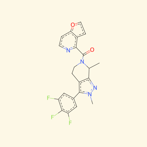 CC1c2nn(C)c(-c3cc(F)c(F)c(F)c3)c2CCN1C(=O)c1nccc2occc12